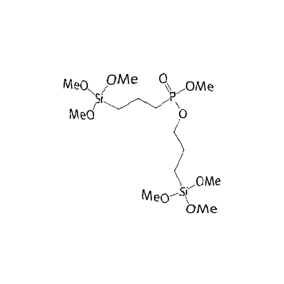 CO[Si](CCCOP(=O)(CCC[Si](OC)(OC)OC)OC)(OC)OC